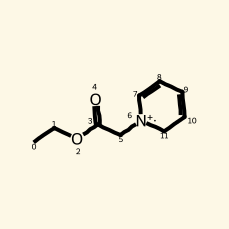 CCOC(=O)C[N+]1C=CC=CC1